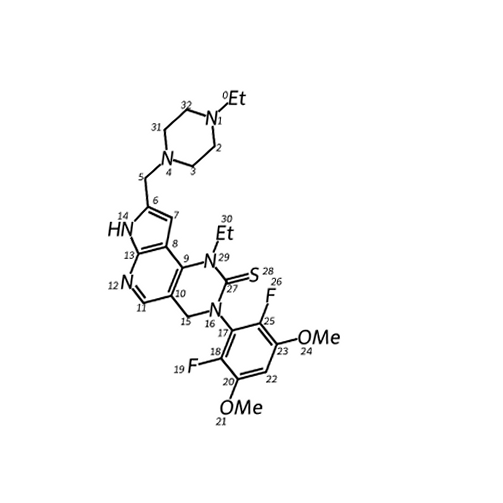 CCN1CCN(Cc2cc3c4c(cnc3[nH]2)CN(c2c(F)c(OC)cc(OC)c2F)C(=S)N4CC)CC1